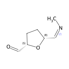 C/N=C\[C@H]1CC[C@@H](C=O)O1